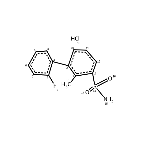 Cc1c(-c2ccccc2F)cccc1S(N)(=O)=O.Cl